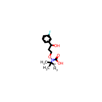 CC(C)(C)N(OCCC(O)c1cccc(F)c1)C(=O)O